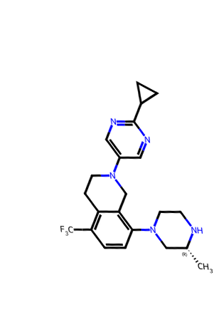 C[C@@H]1CN(c2ccc(C(F)(F)F)c3c2CN(c2cnc(C4CC4)nc2)CC3)CCN1